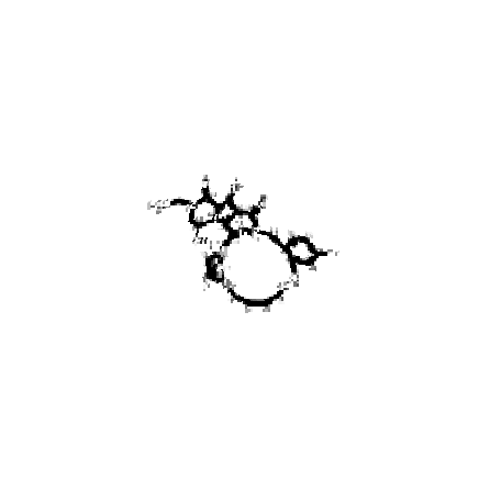 CCN1C[C@H](C)n2c(c(O)c3c(=O)n4nc(c32)N2CCN(CCCCCOc3cc(F)ccc3C4)S2(=O)=O)C1=O